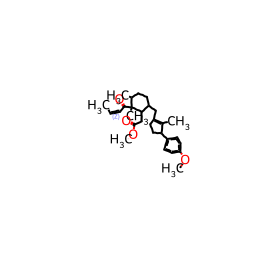 C/C=C\C(=O)C1(C)C(C)CCC(CC2=C(C)C(c3ccc(OC)cc3)CC2)C1CC(=O)OC